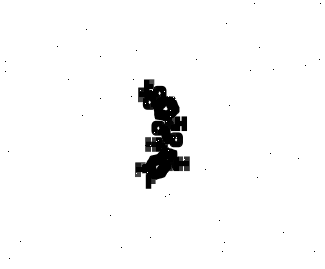 O=C(Nc1ccc2c(c1)OC(F)(F)O2)C(=O)Nc1c[nH]c2cc(F)c(F)cc12